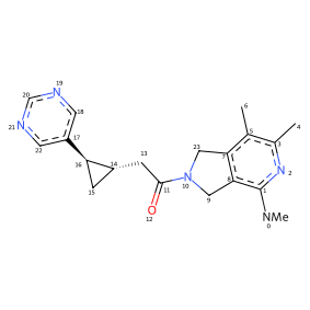 CNc1nc(C)c(C)c2c1CN(C(=O)C[C@@H]1C[C@H]1c1cncnc1)C2